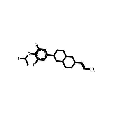 CC=CC1CCC2CC(c3cc(F)c(OC(F)F)c(F)c3)CCC2C1